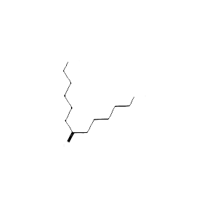 [CH]=C(CCCCCC)CCCCCC